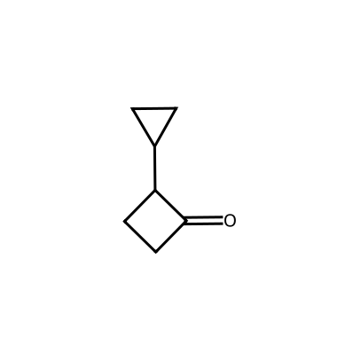 O=C1CCC1C1CC1